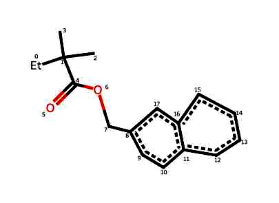 CCC(C)(C)C(=O)OCc1ccc2ccccc2c1